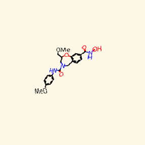 COCC1CN(C(=O)Nc2ccc(OC)cc2)Cc2ccc(C(=O)NO)cc2O1